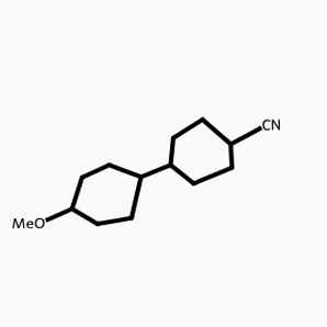 COC1CCC(C2CCC(C#N)CC2)CC1